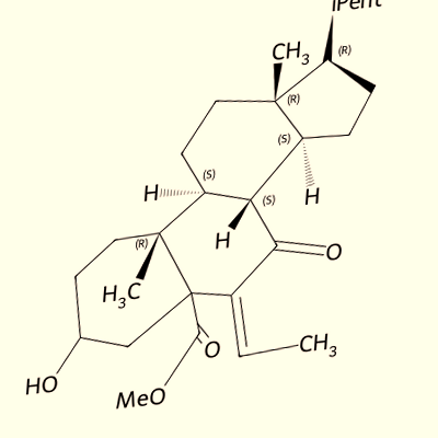 CC=C1C(=O)[C@H]2[C@@H]3CC[C@H]([C@H](C)CCC)[C@@]3(C)CC[C@@H]2[C@@]2(C)CCC(O)CC12C(=O)OC